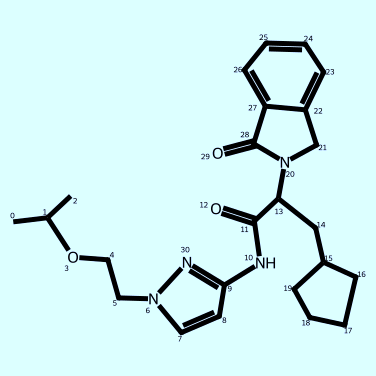 CC(C)OCCn1ccc(NC(=O)C(CC2CCCC2)N2Cc3ccccc3C2=O)n1